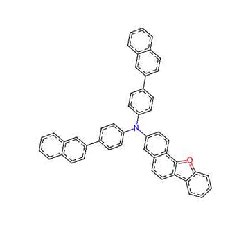 c1ccc2cc(-c3ccc(N(c4ccc(-c5ccc6ccccc6c5)cc4)c4ccc5c(ccc6c7ccccc7oc56)c4)cc3)ccc2c1